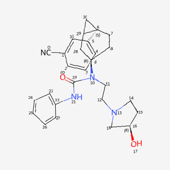 N#Cc1cccc([C@]23CC[C@@H](N(CCN4CC[C@@H](O)C4)C(=O)Nc4ccccc4)CC2C3)c1